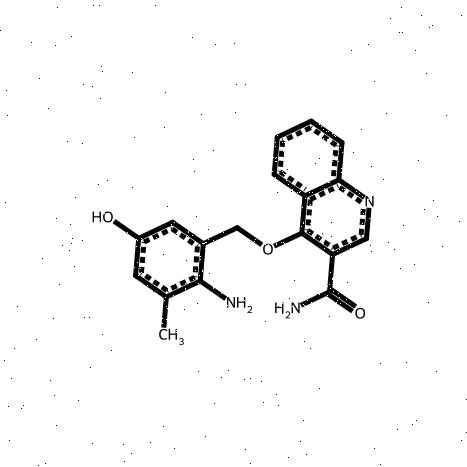 Cc1cc(O)cc(COc2c(C(N)=O)cnc3ccccc23)c1N